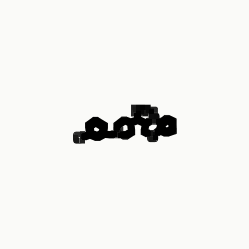 CNC(C1CCN(Cc2cccc(Cl)c2)CC1)C1COc2ccccc2O1